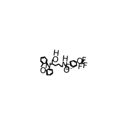 [O-][S+](NCCCC(CO)N1c2ccccc2COc2ccccc21)c1ccc(OC(F)(F)F)cc1